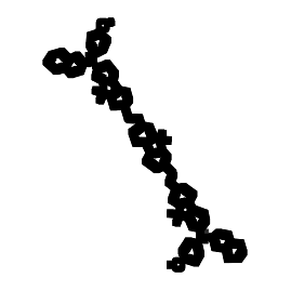 COc1ccc(N(c2ccc3c(c2)C(C)(C)c2cc(/C=C/c4ccc5c(c4)C(C)(C)c4cc(/C=C/c6ccc7c(c6)C(C)(C)c6cc(N(c8ccc(OC)cc8)c8ccc9ccccc9c8)ccc6-7)ccc4-5)ccc2-3)c2ccc3ccccc3c2)cc1